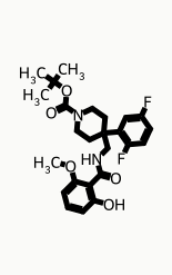 COc1cccc(O)c1C(=O)NCC1(c2cc(F)ccc2F)CCN(C(=O)OC(C)(C)C)CC1